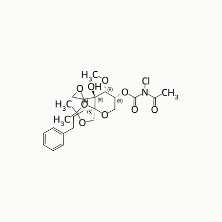 CO[C@@H]1[C@H](OC(=O)N(Cl)C(C)=O)CO[C@]2(COC(C)(C)O2)[C@]1(O)[C@@]1(CCCc2ccccc2)CO1